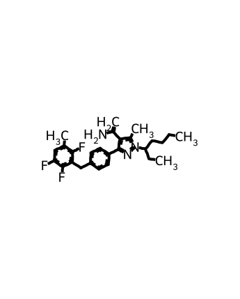 C=C(N)c1c(-c2ccc(Cc3c(F)c(C)cc(F)c3F)cc2)nn(C(CC)CCCC)c1C